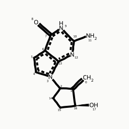 C=C1C(n2ccc3c(=O)[nH]c(N)nc32)CC[C@@H]1O